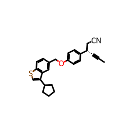 CC#C[C@@H](CC#N)c1ccc(OCc2ccc3scc(C4CCCC4)c3c2)cc1